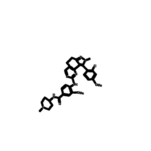 COc1ccc(-c2c3c(nn2C)CCc2cnc(Nc4ccc(C(=O)NC5CCN(C)CC5)cc4OC)nc2-3)c(Cl)c1